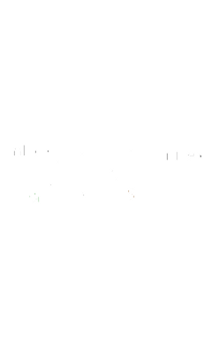 CCCCCCC1=C(Br)CC(c2cc(CCCCCC)cs2)=C1